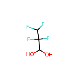 O[C](O)C(F)(F)C(F)F